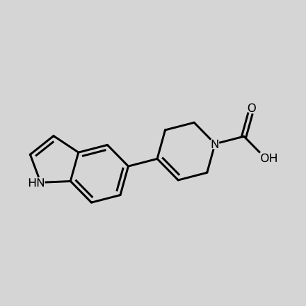 O=C(O)N1CC=C(c2ccc3[nH]ccc3c2)CC1